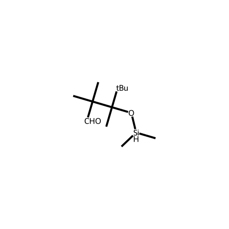 C[SiH](C)OC(C)(C(C)(C)C)C(C)(C)C=O